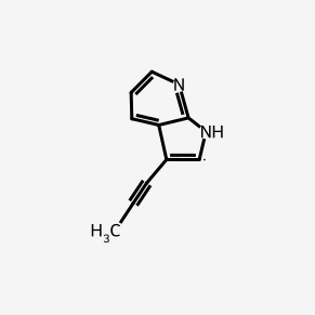 CC#Cc1[c][nH]c2ncccc12